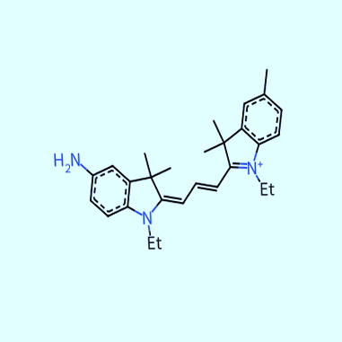 CCN1/C(=C/C=C/C2=[N+](CC)c3ccc(C)cc3C2(C)C)C(C)(C)c2cc(N)ccc21